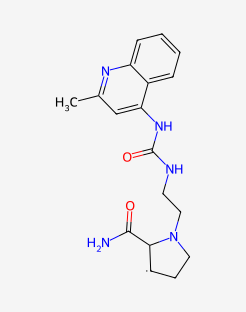 Cc1cc(NC(=O)NCCN2CC[CH]C2C(N)=O)c2ccccc2n1